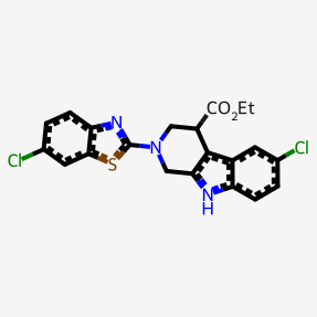 CCOC(=O)C1CN(c2nc3ccc(Cl)cc3s2)Cc2[nH]c3ccc(Cl)cc3c21